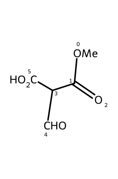 COC(=O)C(C=O)C(=O)O